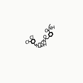 CCNC(=O)c1cccc(CC(=O)NCC2CN(Cc3ccc(Cl)c(Cl)c3)CCO2)c1